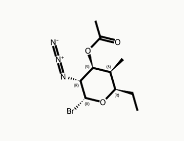 CC[C@H]1O[C@H](Br)[C@H](N=[N+]=[N-])[C@@H](OC(C)=O)[C@H]1C